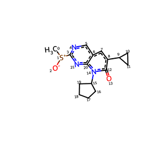 C[S+]([O-])c1ncc2cc(C3CC3)c(=O)n(C3CCCC3)c2n1